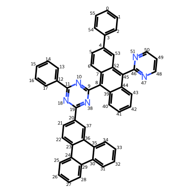 c1ccc(-c2ccc3c(-c4nc(-c5ccccc5)nc(-c5ccc6c7ccccc7c7ccccc7c6c5)n4)c4ccccc4c(-c4ncccn4)c3c2)cc1